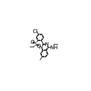 CCNc1nc(-c2ccc(Cl)cc2S(=O)(=O)CC)nc2cc(C)ccc12